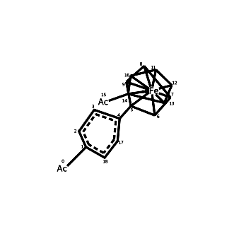 CC(=O)c1ccc([C]23[CH]4[CH]5[CH]6[CH]2[Fe]56432789[CH]3[CH]2[CH]7[C]8(C(C)=O)[CH]39)cc1